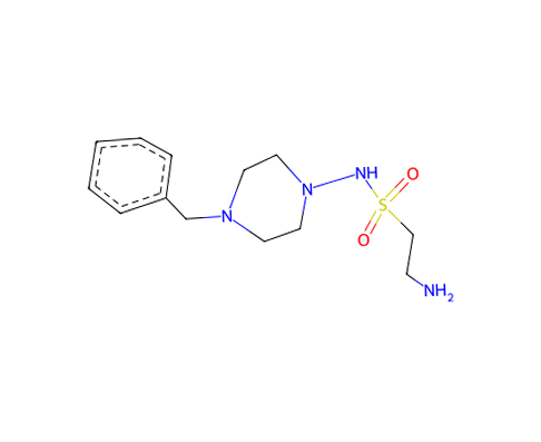 NCCS(=O)(=O)NN1CCN(Cc2ccccc2)CC1